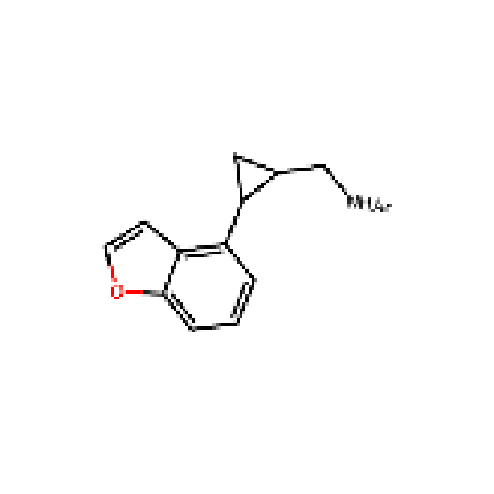 CC(=O)NCC1CC1c1cccc2occc12